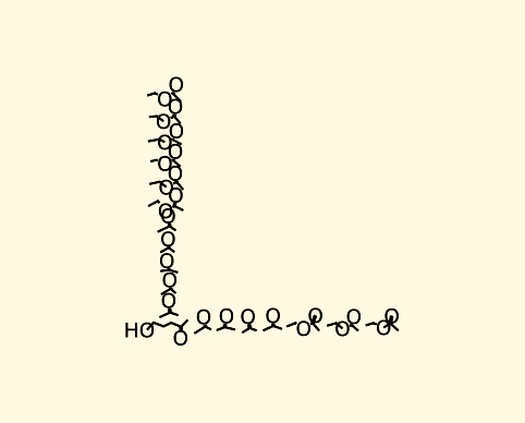 CC(=O)CCCO.CC(C)=O.CC(C)=O.CC(C)=O.CC(C)=O.CC(C)=O.CC(C)=O.CC(C)=O.CC(C)=O.CC(C)=O.CCOC(C)=O.CCOC(C)=O.CCOC(C)=O.CCOC(C)=O.CCOC(C)=O.CCOC(C)=O.CCOC(C)=O.CCOC(C)=O.CCOC(C)=O